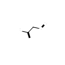 N=NCC(N)=O